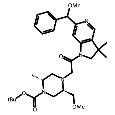 COC[C@H]1CN(C(=O)OC(C)(C)C)[C@H](C)CN1CC(=O)N1CC(C)(C)c2cnc(C(OC)c3ccccc3)cc21